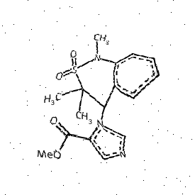 COC(=O)c1cncn1C1c2ccccc2N(C)S(=O)(=O)C1(C)C